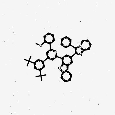 COc1ccccc1-c1cc(-c2cc(C(C)(C)C)cc(C(C)(C)C)c2)cc(-c2cc(-c3nc4ccccn4c3-c3ccccc3)cc3c2oc2ccccc23)n1